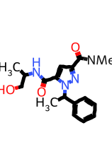 CNC(=O)c1cc(C(=O)NC(C)CO)n(C(C)c2ccccc2)n1